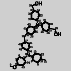 COc1ccc(N(c2ccc(C)cc2)c2ccc(Cc3ccc(N(c4ccc(CO)cc4)c4ccc(CO)cc4)cc3)cc2)cc1